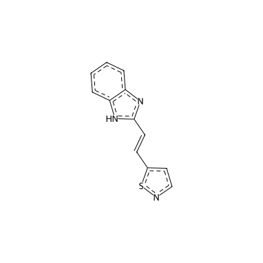 C(=Cc1ccns1)c1nc2ccccc2[nH]1